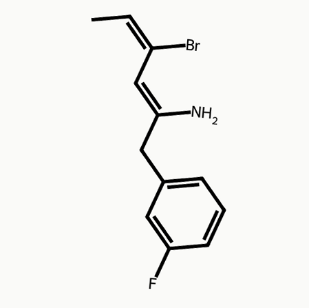 C/C=C(Br)\C=C(/N)Cc1cccc(F)c1